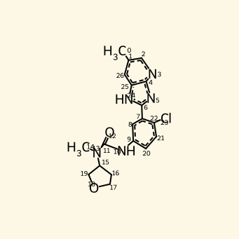 Cc1cnc2nc(-c3cc(NC(=O)N(C)C4CCOC4)ccc3Cl)[nH]c2c1